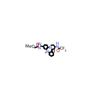 COCc1nc(-c2ccc3c(c2)N(C)c2ccccc2[C@H]2C[C@H](NC(=O)C(F)(F)F)CCN32)no1